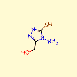 Nn1c(S)nnc1CO